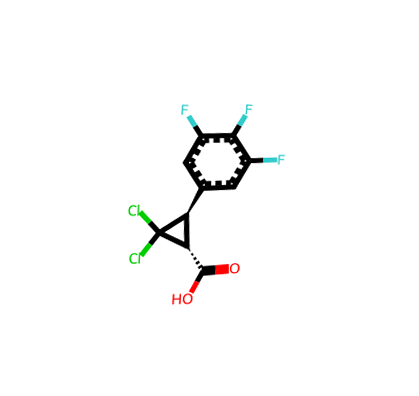 O=C(O)[C@H]1[C@H](c2cc(F)c(F)c(F)c2)C1(Cl)Cl